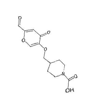 O=Cc1cc(=O)c(OCC2CCN(C(=O)O)CC2)co1